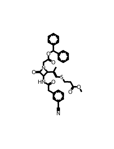 COC(=O)CCSC=C(C)C1C(NC(=O)Cc2cccc(C#N)c2)C(=O)N1CC(=O)OC(c1ccccc1)c1ccccc1